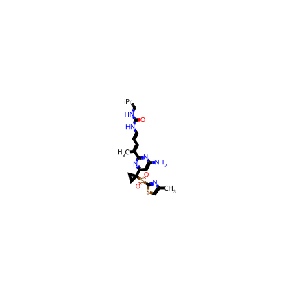 C/C(=C\C=C\NC(=O)NCC(C)C)c1nc(N)cc(C2(S(=O)(=O)c3nc(C)cs3)CC2)n1